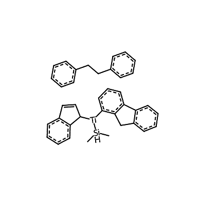 C[SiH](C)[Ti]([c]1cccc2c1Cc1ccccc1-2)[CH]1C=Cc2ccccc21.c1ccc(CCc2ccccc2)cc1